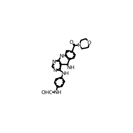 N=C(c1ccc(C(=O)N2CCOCC2)cc1)c1c(N)ncnc1Nc1ccc(NC=O)cc1